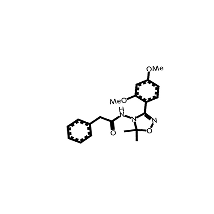 COc1ccc(C2=NOC(C)(C)N2NC(=O)Cc2ccccc2)c(OC)c1